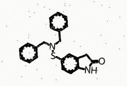 O=C1Cc2cc(SN(Cc3ccccc3)Cc3ccccc3)ccc2N1